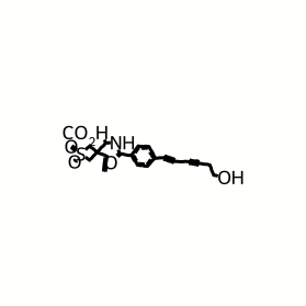 C=CC1(C(NC(=O)c2ccc(C#CC#CCCO)cc2)C(=O)O)CS(=O)(=O)C1